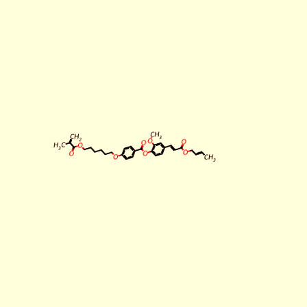 C=C(C)C(=O)OCCCCCCOc1ccc(C(=O)Oc2ccc(/C=C/C(=O)OC/C=C/C)cc2OC)cc1